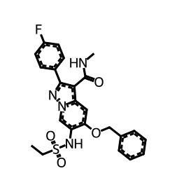 CCS(=O)(=O)Nc1cn2nc(-c3ccc(F)cc3)c(C(=O)NC)c2cc1OCc1ccccc1